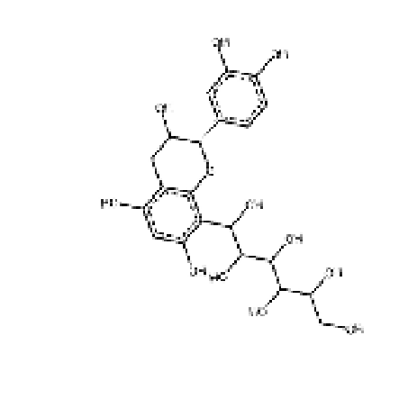 OCC(O)C(O)C(O)C(O)C(O)c1c(O)cc(O)c2c1O[C@@H](c1ccc(O)c(O)c1)C(O)C2